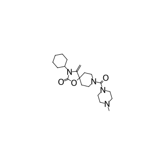 C=C1N(C2CCCCC2)C(=O)OC12CCN(C(=O)N1CCN(C)CC1)CC2